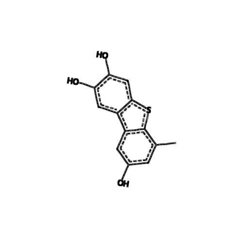 Cc1cc(O)cc2c1sc1cc(O)c(O)cc12